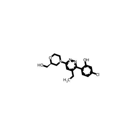 CCc1cc(N2CCO[C@H](CO)C2)nnc1-c1ccc(Cl)cc1O